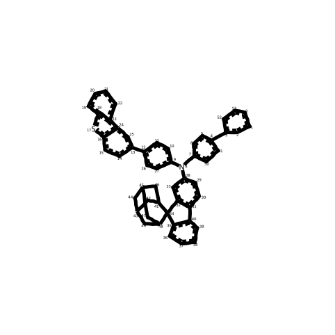 c1ccc(-c2ccc(N(c3ccc(-c4ccc5sc6ccccc6c5c4)cc3)c3ccc4c(c3)C3(c5ccccc5-4)C4CC5CC(C4)CC3C5)cc2)cc1